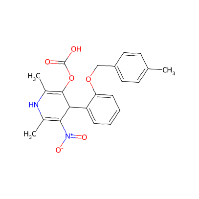 CC1=C(OC(=O)O)C(c2ccccc2OCc2ccc(C)cc2)C([N+](=O)[O-])=C(C)N1